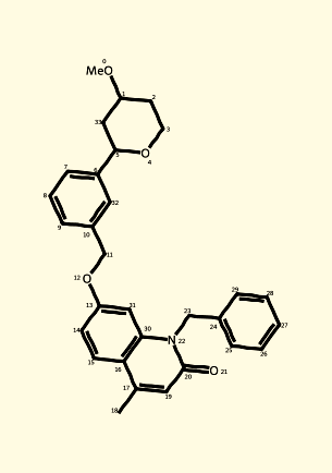 COC1CCOC(c2cccc(COc3ccc4c(C)cc(=O)n(Cc5ccccc5)c4c3)c2)C1